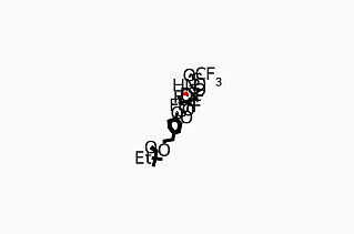 CCC(C)(C)C(=O)OCCc1ccc(OS(=O)(=O)C(F)(F)C(F)(F)C(F)(F)S(=O)(=O)NS(=O)(=O)C(F)(F)F)cc1